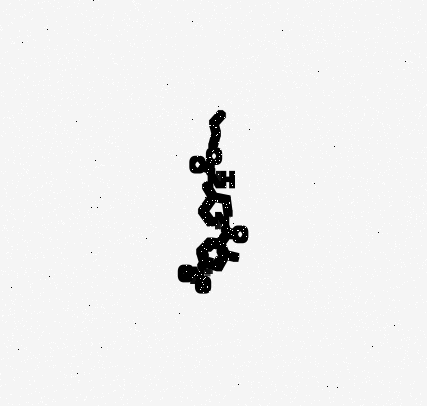 CCCCOC(=O)NCC1CCN(C(=O)c2ccc([N+](=O)[O-])cc2C)CC1